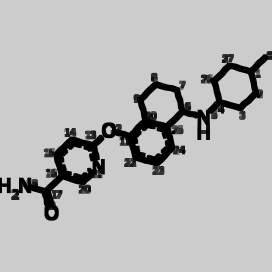 CC1CCC(NC2CCCc3c(Oc4ccc(C(N)=O)cn4)cccc32)CC1